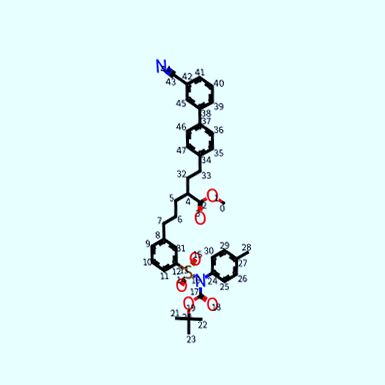 COC(=O)C(CCCc1cccc(S(=O)(=O)N(C(=O)OC(C)(C)C)c2ccc(C)cc2)c1)CCc1ccc(-c2cccc(C#N)c2)cc1